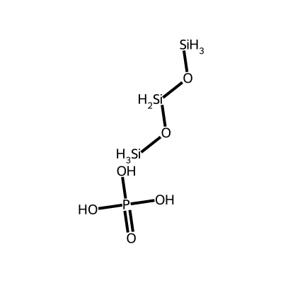 O=P(O)(O)O.[SiH3]O[SiH2]O[SiH3]